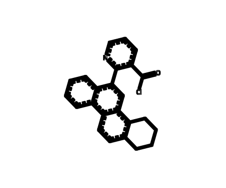 O=C(Cl)c1cccnc1-c1cc2c3c(ccc2c2ccccc12)CCCC3